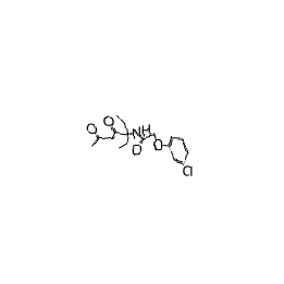 CCC(CC)(NC(=O)COc1cccc(Cl)c1)C(=O)CC(C)=O